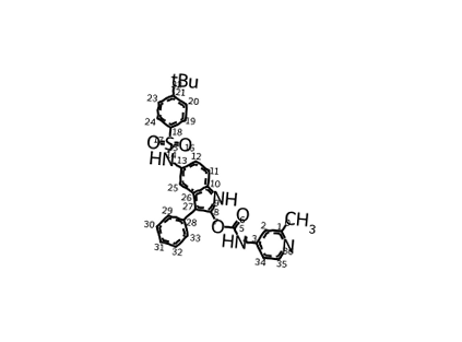 Cc1cc(NC(=O)Oc2[nH]c3ccc(NS(=O)(=O)c4ccc(C(C)(C)C)cc4)cc3c2-c2ccccc2)ccn1